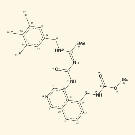 CS/C(=N/C(=O)Nc1cncc2cccc(CNC(=O)OC(C)(C)C)c12)NCc1cc(F)c(F)c(F)c1